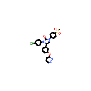 CS(=O)(=O)c1ccc(N2CC(c3cccc(Oc4cccnn4)c3)N(c3ccc(Cl)cc3)C2=O)cc1